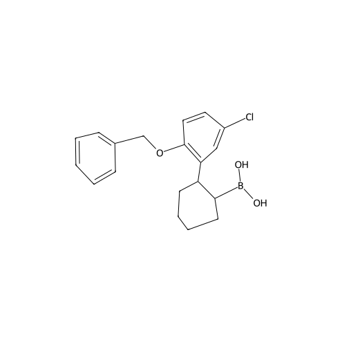 OB(O)C1CCCCC1c1cc(Cl)ccc1OCc1ccccc1